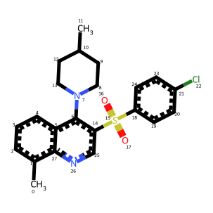 Cc1cccc2c(N3CCC(C)CC3)c(S(=O)(=O)c3ccc(Cl)cc3)cnc12